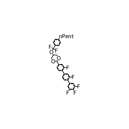 CCCCCc1ccc(C(F)(F)OC2COC(c3ccc(-c4ccc(-c5cc(F)c(F)c(F)c5)c(F)c4)c(F)c3)OC2)cc1